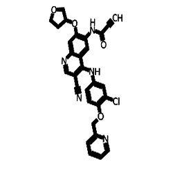 C#CC(=O)Nc1cc2c(Nc3ccc(OCc4ccccn4)c(Cl)c3)c(C#N)cnc2cc1OC1CCOC1